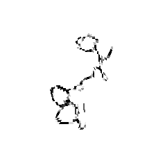 CCN(C(=O)CCCOc1cccc2c1NC(=O)CC2)C1CCOCC1